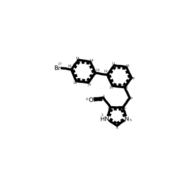 O=Cc1[nH]cnc1Cc1cccc(-c2ccc(Br)cc2)c1